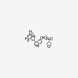 Nc1ncc(-c2ccnc3ccc(O[C@H]4CCN(C(=O)C5CCOCC5)C4)cc23)cc1C(F)(F)F